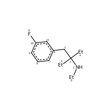 CCNC(CC)(CC)Cc1cccc(F)c1